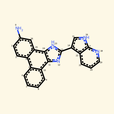 Nc1ccc2c3ccccc3c3nc(-c4c[nH]c5ncccc45)[nH]c3c2c1